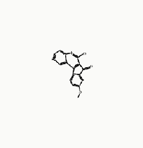 COc1ccc2c(c1)C(=O)c1c(Cl)nc3ccccc3c1-2